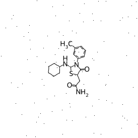 Cc1cccc(N2C(=O)C(CC(N)=O)SC2NC2CCCCC2)c1